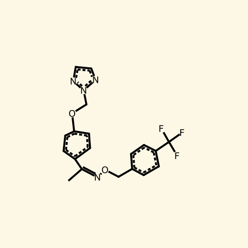 CC(=NOCc1ccc(C(F)(F)F)cc1)c1ccc(OCn2nccn2)cc1